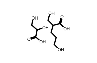 O=C(O)C(CO)CCCO.O=C(O)C(O)CO